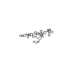 Cc1cc(C(=O)NC2CCNCC2)ccc1-c1ccc(C[C@H](NC(=O)C2CCC(CN)CC2)C(=O)Nc2ccc(-c3nnc(Cl)[nH]3)cc2)cc1